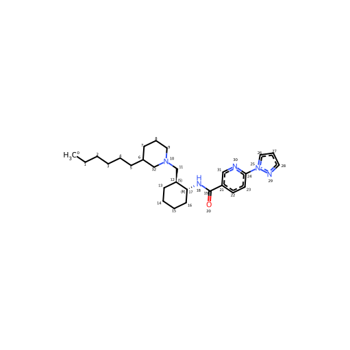 CCCCCCC1CCCN(C[C@@H]2CCCC[C@H]2NC(=O)c2ccc(-n3cccn3)nc2)C1